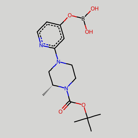 C[C@@H]1CN(c2cc(OB(O)O)ccn2)CCN1C(=O)OC(C)(C)C